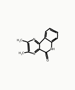 Cc1nc2c(=O)[nH]c3ccccc3c2nc1C